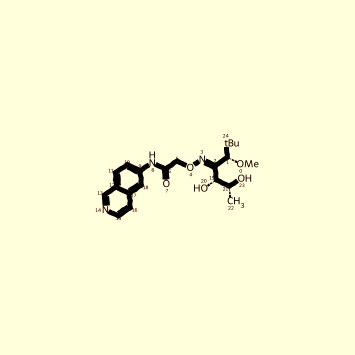 CO[C@H](/C(=N/OCC(=O)Nc1ccc2cnccc2c1)[C@@H](O)[C@@H](C)O)C(C)(C)C